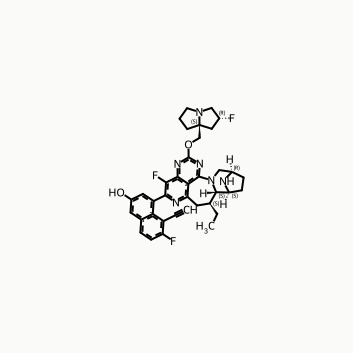 C#Cc1c(F)ccc2cc(O)cc(-c3nc4c5c(nc(OC[C@@]67CCCN6C[C@H](F)C7)nc5c3F)N3C[C@H]5CC[C@H](N5)[C@@H]3[C@@H](CC)C4)c12